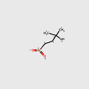 CCCC(C)(C)CC[SH](=O)=O